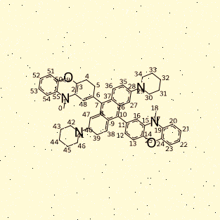 CN1C2=C(CCC(c3c4c(c(-c5ccc6c(c5)N(C)c5ccccc5O6)c5cc(N6CCCCC6)ccc35)=CCC(N3CCCCC3)C=4)=C2)Oc2ccccc21